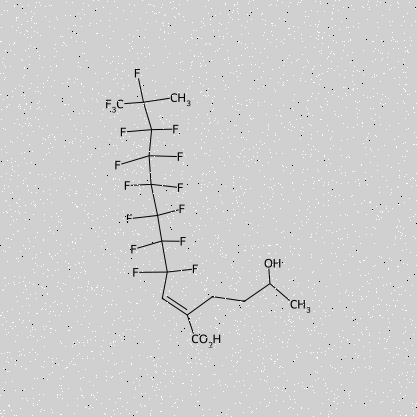 CC(O)CCC(=CC(F)(F)C(F)(F)C(F)(F)C(F)(F)C(F)(F)C(F)(F)C(C)(F)C(F)(F)F)C(=O)O